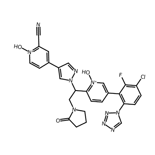 N#Cc1cc(-c2cnn(C(CN3CCCC3=O)c3ccc(-c4c(-n5cnnn5)ccc(Cl)c4F)c[n+]3O)c2)cc[n+]1O